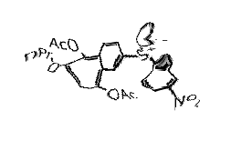 CCCOc1cc(OC(C)=O)c2cc([S+]([O-])c3ccc([N+](=O)[O-])cc3)ccc2c1OC(C)=O